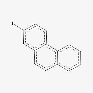 Ic1ccc2c(ccc3ccccc32)c1